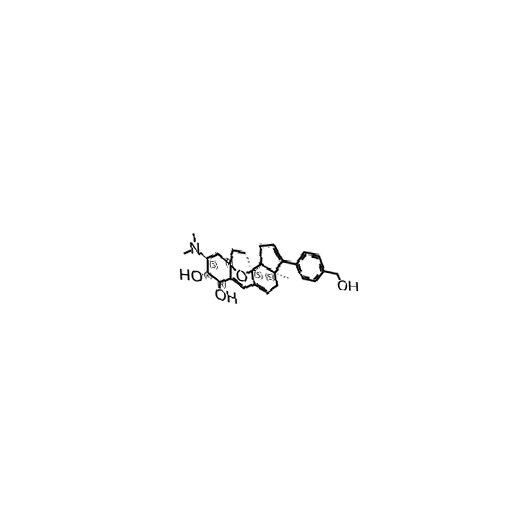 CN(C)[C@H]1C[C@@]23CC[C@@]4(O2)C(=CC[C@]2(C)C(c5ccc(CO)cc5)=CCC24)C=C3[C@@H](O)[C@@H]1O